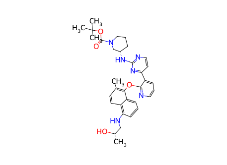 Cc1ccc2c(NC[C@H](C)O)cccc2c1Oc1ncccc1-c1ccnc(N[C@H]2CCCN(C(=O)OC(C)(C)C)C2)n1